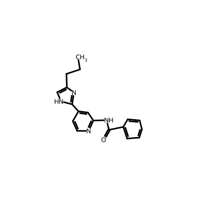 CCCc1c[nH]c(-c2ccnc(NC(=O)c3ccccc3)c2)n1